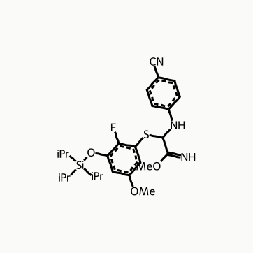 COC(=N)C(Nc1ccc(C#N)cc1)Sc1cc(OC)cc(O[Si](C(C)C)(C(C)C)C(C)C)c1F